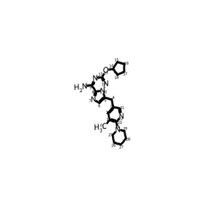 Cc1cc(Cc2cnc3c(N)nc(OC4CCCC4)nn23)cnc1N1CCCCC1